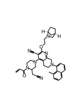 C=CC(=O)N1CCN(c2c(C#N)c(OCCN3C[C@@H]4CC[C@H]3C4)nc3c2CCN(c2cccc4cccc(C)c24)C3)CC1CC#N